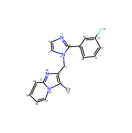 CCc1c(Cn2ccnc2-c2cccc(F)c2)nc2ccccn12